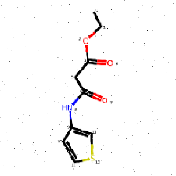 CCOC(=O)CC(=O)Nc1ccsc1